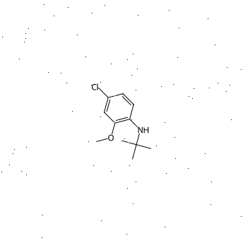 COc1cc(Cl)ccc1NC(C)(C)C